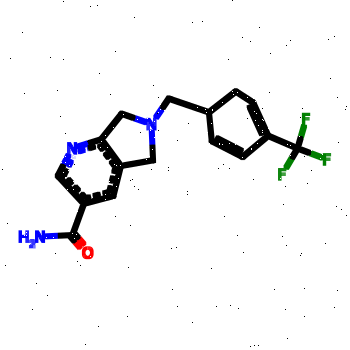 NC(=O)c1cnc2c(c1)CN(CC1C=CC(C(F)(F)F)=CC1)C2